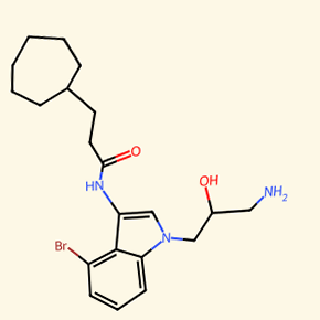 NCC(O)Cn1cc(NC(=O)CCC2CCCCCC2)c2c(Br)cccc21